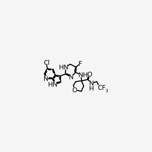 O=C(NCC(F)(F)F)C1(NC2=C(F)CNC(c3c[nH]c4ncc(Cl)cc34)=N2)CCOCC1